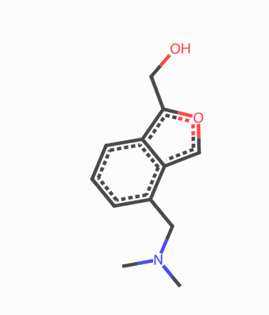 CN(C)Cc1cccc2c(CO)occ12